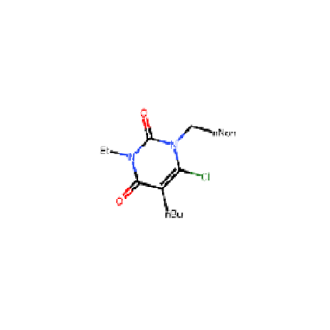 CCCCCCCCCCn1c(Cl)c(CCCC)c(=O)n(CC)c1=O